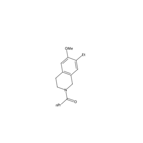 CCCC(=O)N1CCc2cc(OC)c(CC)cc2C1